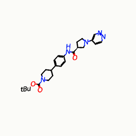 CC(C)(C)OC(=O)N1CCC(c2ccc(NC(=O)[C@H]3CCN(c4ccnnc4)C3)cc2)CC1